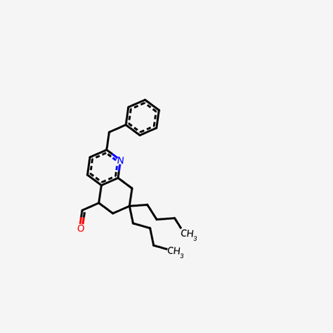 CCCCC1(CCCC)Cc2nc(Cc3ccccc3)ccc2C(C=O)C1